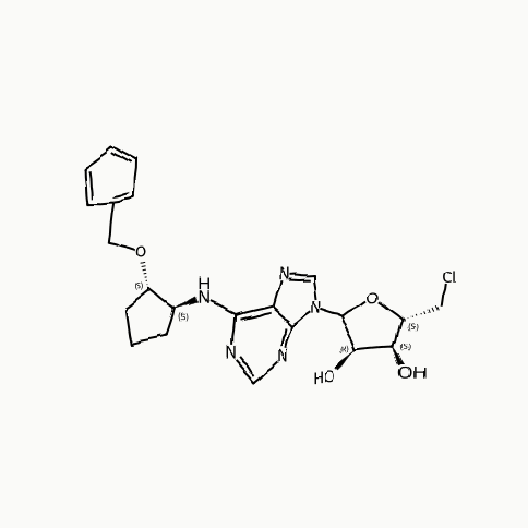 O[C@@H]1[C@@H](CCl)OC(n2cnc3c(N[C@H]4CCC[C@@H]4OCc4ccccc4)ncnc32)[C@@H]1O